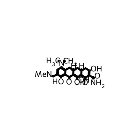 CNCc1cc(N(C)C)c2c(c1O)C(=O)C1=C(O)[C@]3(O)C(=O)C(C(N)=O)=C(O)C[C@@H]3C[C@@H]1C2